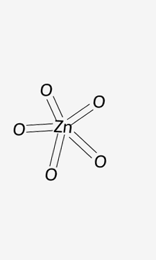 [O]=[Zn](=[O])(=[O])(=[O])=[O]